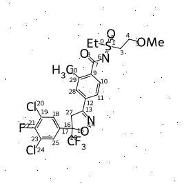 CCS(=O)(CCOC)=NC(=O)c1ccc(C2=NOC(c3cc(Cl)c(F)c(Cl)c3)(C(F)(F)F)C2)cc1C